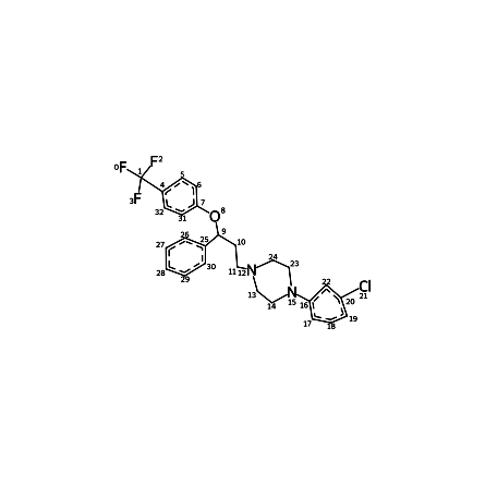 FC(F)(F)c1ccc(OC(CCN2CCN(c3cccc(Cl)c3)CC2)c2ccccc2)cc1